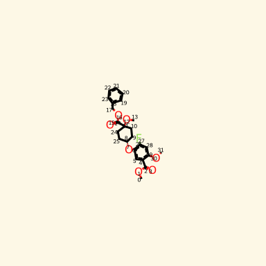 COC(=O)c1cc(O[C@H]2CC[C@@](OC)(C(=O)OCc3ccccc3)CC2)c(F)cc1OC